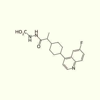 CC(C(=O)NNC(=O)O)C1CCC(c2ccnc3ccc(F)cc23)CC1